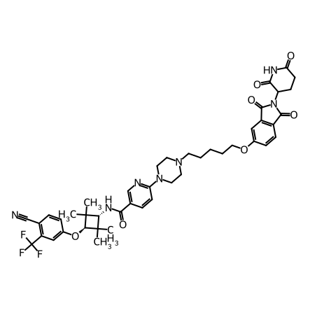 CC1(C)[C@H](NC(=O)c2ccc(N3CCN(CCCCCOc4ccc5c(c4)C(=O)N(C4CCC(=O)NC4=O)C5=O)CC3)nc2)C(C)(C)[C@H]1Oc1ccc(C#N)c(C(F)(F)F)c1